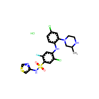 CC1CN(c2cc(Cl)ccc2Nc2cc(F)c(S(=O)(=O)Nc3cscn3)cc2Cl)CCN1.Cl